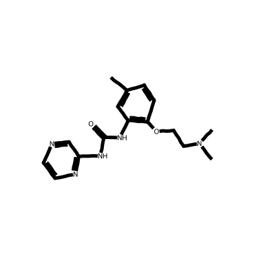 Cc1ccc(OCCN(C)C)c(NC(=O)Nc2cnccn2)c1